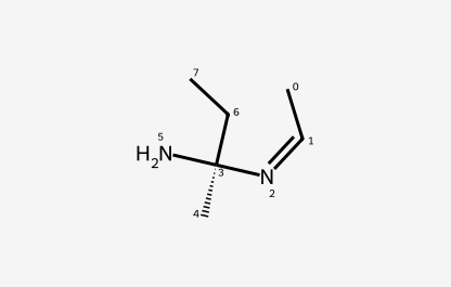 C/C=N\[C@@](C)(N)CC